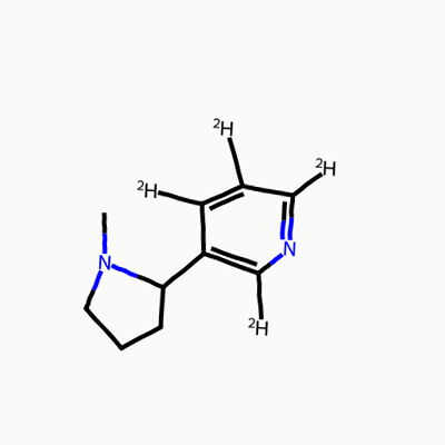 [2H]c1nc([2H])c(C2CCCN2C)c([2H])c1[2H]